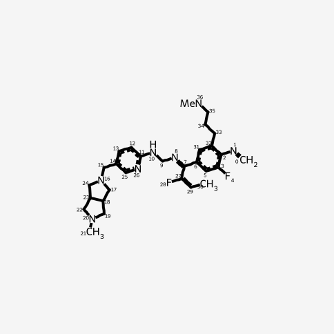 C=Nc1c(F)cc(C(=N/CNc2ccc(CN3CC4CN(C)CC4C3)cn2)/C(F)=C\C)cc1CCCNC